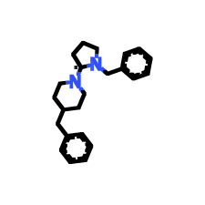 c1ccc(CC2CCN([C]3CCCN3Cc3ccccc3)CC2)cc1